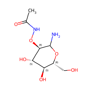 CC(=O)NO[C@H]1C(N)O[C@H](CO)[C@@H](O)[C@@H]1O